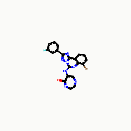 O=c1nccncc1Nc1nc2c(Br)cccc2c2nc(-c3cccc(F)c3)nn12